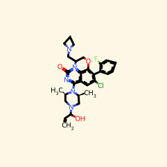 C=CC(O)N1C[C@H](C)N(c2nc(=O)n3c4c(c(-c5ccccc5F)c(Cl)cc24)OCC3CN2CCC2)[C@@H](C)C1